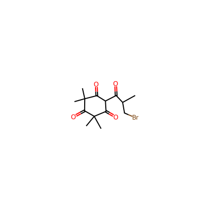 CC(CBr)C(=O)C1C(=O)C(C)(C)C(=O)C(C)(C)C1=O